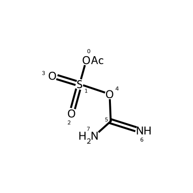 CC(=O)OS(=O)(=O)OC(=N)N